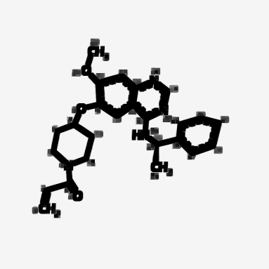 C=CC(=O)N1CCC(Oc2cc3c(N[C@H](C)c4ccccc4)ncnc3cc2OC)CC1